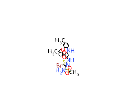 Cc1ccc(NC(=O)CC(=O)Nc2nc(C(N)S(C)(=O)=O)c(Br)s2)c(OCC(C)C)c1